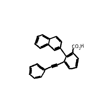 O=C(O)c1cccc(C#Cc2ccccc2)c1-c1ccc2ccccc2c1